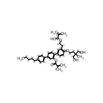 C=C(C)C(=O)Oc1cc(-c2ccc(CCCCC)cc2)ccc1-c1ccc(OCCC(C)(CO)CO)c(CCOC(O)C(=C)C)c1